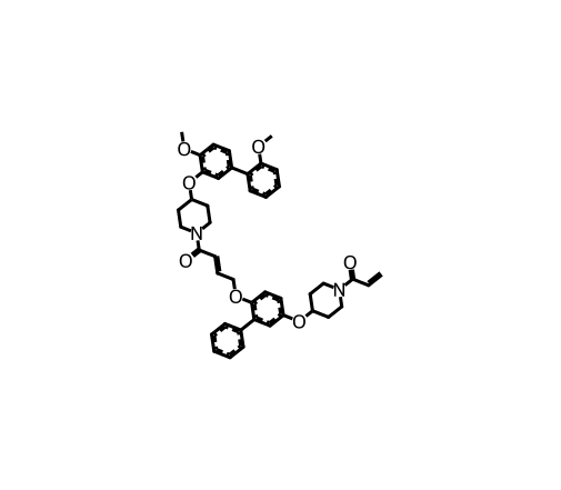 C=CC(=O)N1CCC(Oc2ccc(OC/C=C/C(=O)N3CCC(Oc4cc(-c5ccccc5OC)ccc4OC)CC3)c(-c3ccccc3)c2)CC1